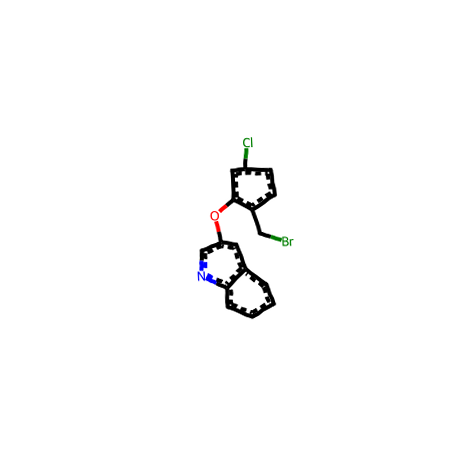 Clc1ccc(CBr)c(Oc2cnc3ccccc3c2)c1